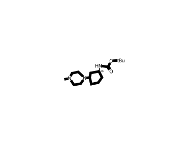 CN1CCN(C2CCC[C@@H](NC(=O)OC(C)(C)C)C2)CC1